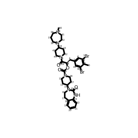 Cc1c(Br)cc(C[C@@H](OC(=O)N2CCC(N3CCc4ccccc4NC3=O)CC2)C(=O)N2CCC(N3CCCN(C)CC3)CC2)cc1Br